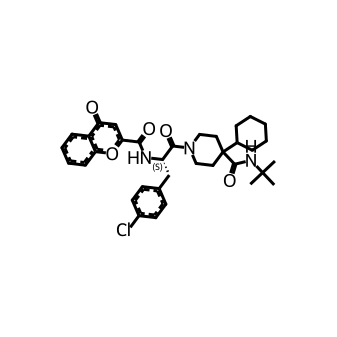 CC(C)(C)NC(=O)C1(C2CCCCC2)CCN(C(=O)[C@H](Cc2ccc(Cl)cc2)NC(=O)c2cc(=O)c3ccccc3o2)CC1